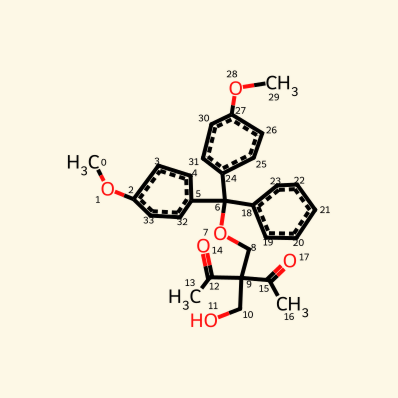 COc1ccc(C(OCC(CO)(C(C)=O)C(C)=O)(c2ccccc2)c2ccc(OC)cc2)cc1